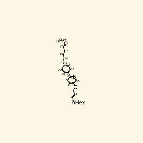 CCCCCCC=CCOc1ccc(-c2ccc(CCCCCOCCC)cc2)nc1